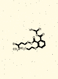 CCCC(CC)OC(=O)c1cccc(SCCC(=O)O)c1C(=O)OSCCC(CC)C(=O)O